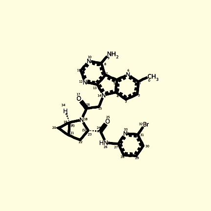 Cc1ccc2c(n1)c1c(N)ncnc1n2CC(=O)N1[C@@H]2CC2C[C@H]1C(=O)Nc1cccc(Br)n1